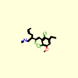 C=N/C=C(C/C=C\C)/C(F)=C/c1c(Cl)c(CC)cc(OC)c1Cl